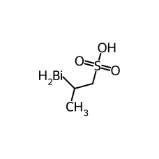 C[CH]([BiH2])CS(=O)(=O)O